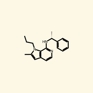 CCCn1c(C)cc2ccnc(N[C@H](C)c3ccccc3)c21